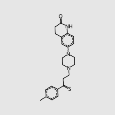 Cc1ccc(C(=S)CCN2CCN(c3ccc4c(c3)CCC(=O)N4)CC2)cc1